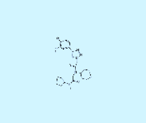 COc1ccc(-c2nnn(CC(=O)N(CC(=O)N(C)C3CCCC3)C3CCCCC3)n2)cc1OC